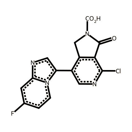 O=C(O)N1Cc2c(-c3cnc4cc(F)ccn34)cnc(Cl)c2C1=O